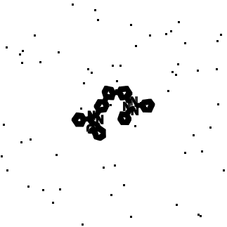 c1ccc(-c2nc(-c3ccccc3)nc(-c3cccc(-c4cccc(-c5ccc(-c6nc(-c7ccccc7)c7oc8ccccc8c7n6)cc5)c4)c3)n2)cc1